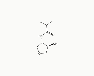 CC(C)C(=O)N[C@H]1COC[C@@H]1O